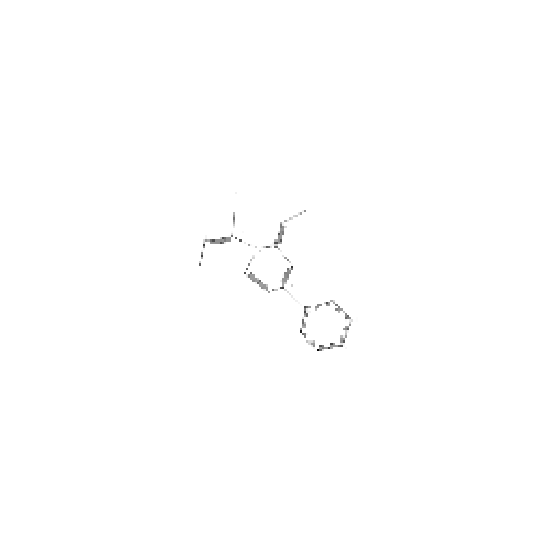 CC=C1C=C(c2ccccc2)C=CN1/C(C=O)=C\C